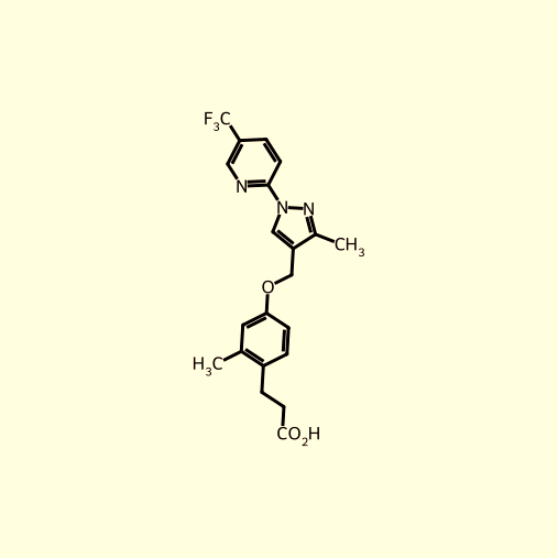 Cc1cc(OCc2cn(-c3ccc(C(F)(F)F)cn3)nc2C)ccc1CCC(=O)O